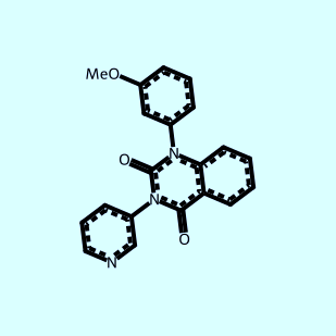 COc1cccc(-n2c(=O)n(-c3cccnc3)c(=O)c3ccccc32)c1